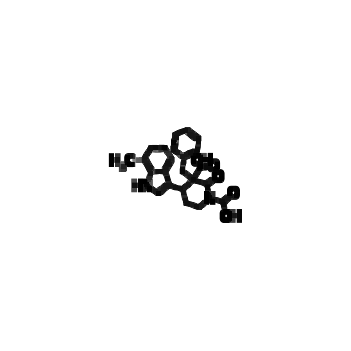 Cc1cccc2c(C3CCN(C(=O)O)C(=O)C3(Cc3ccccc3)C(=O)O)c[nH]c12